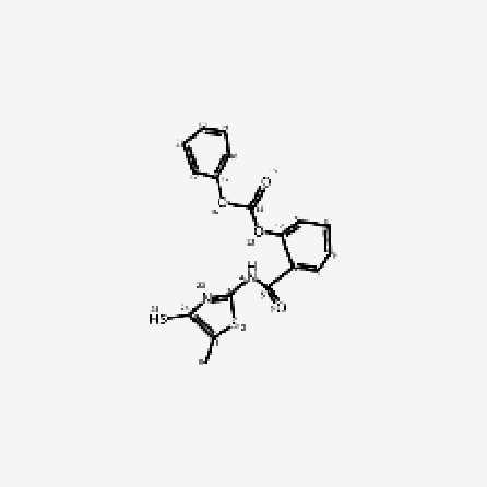 Cc1sc(NC(=O)c2ccccc2OC(=O)Oc2ccccc2)nc1S